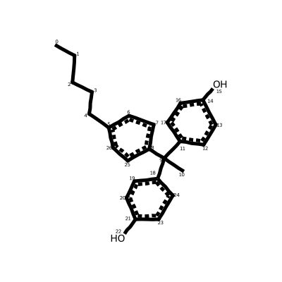 CCCCCc1ccc(C(C)(c2ccc(O)cc2)c2ccc(O)cc2)cc1